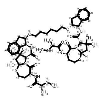 CN[C@@H](C)C(=O)N[C@H]1CCS[C@H]2CC(C)(C)[C@@H](C(=O)N[C@H]3c4ccccc4C[C@H]3OCCCCCCO[C@@H]3Cc4ccccc4[C@@H]3NC(=O)[C@H]3N4C(=O)[C@@H](NC(=O)[C@H](C)NC)CCS[C@@]4(C)CC3(C)C)N2C1=O